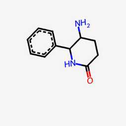 NC1CCC(=O)NC1c1ccccc1